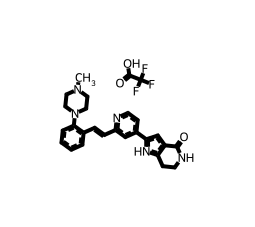 CN1CCN(c2ccccc2/C=C/c2cc(-c3cc4c([nH]3)CCNC4=O)ccn2)CC1.O=C(O)C(F)(F)F